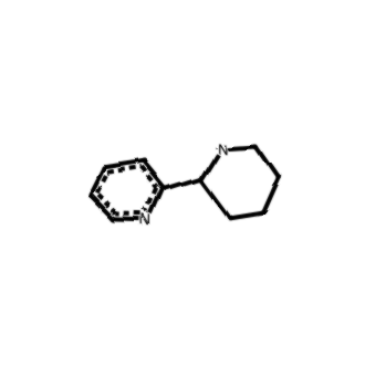 c1ccc(C2CCCC[N]2)nc1